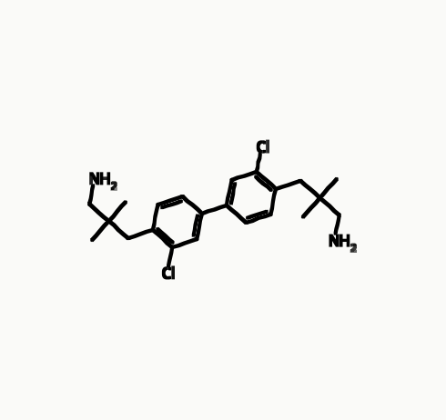 CC(C)(CN)Cc1ccc(-c2ccc(CC(C)(C)CN)c(Cl)c2)cc1Cl